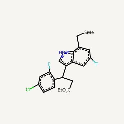 CCOC(=O)CC(c1ccc(Cl)cc1F)c1c[nH]c2c(CSC)cc(F)cc12